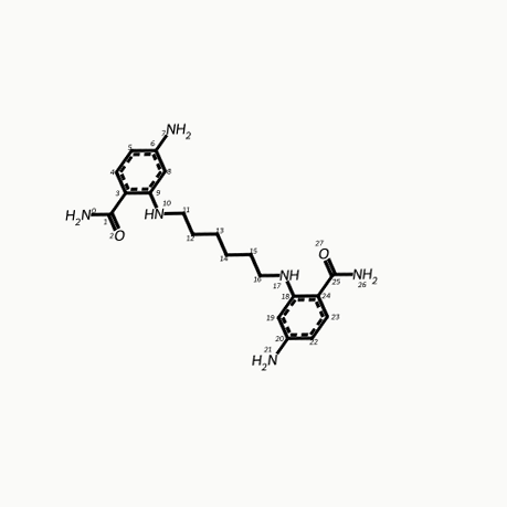 NC(=O)c1ccc(N)cc1NCCCCCCNc1cc(N)ccc1C(N)=O